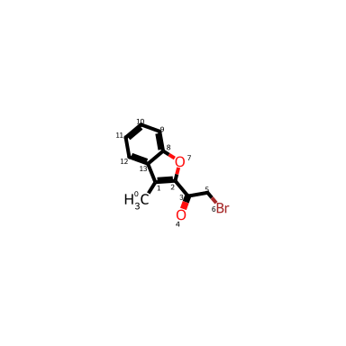 Cc1c(C(=O)CBr)oc2ccccc12